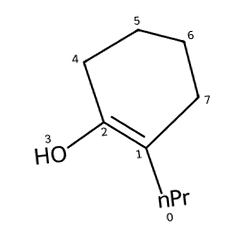 CCCC1=C(O)CCCC1